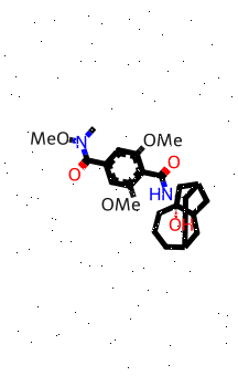 COc1cc(C(=O)N(C)OC)cc(OC)c1C(=O)N[C@H]1C2CCC[C@@]3(O)CC1CC3C2